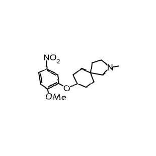 COc1ccc([N+](=O)[O-])cc1OC1CCC2(CC1)CCN(C)C2